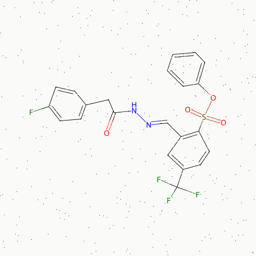 O=C(Cc1ccc(F)cc1)NN=Cc1cc(C(F)(F)F)ccc1S(=O)(=O)Oc1ccccc1